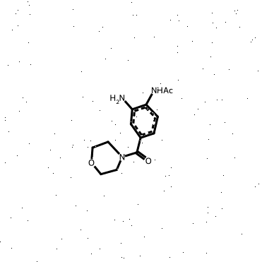 CC(=O)Nc1ccc(C(=O)N2CCOCC2)cc1N